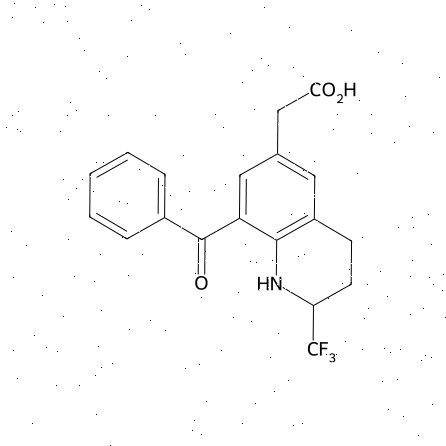 O=C(O)Cc1cc2c(c(C(=O)c3ccccc3)c1)NC(C(F)(F)F)CC2